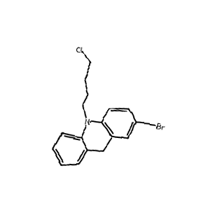 ClCCCCN1c2ccccc2Cc2cc(Br)ccc21